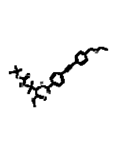 CCOCc1ccc(C#Cc2ccc(C(=O)NC(C(=O)OC)C(C)(C)NC(=O)OC(C)(C)C)cc2)cc1